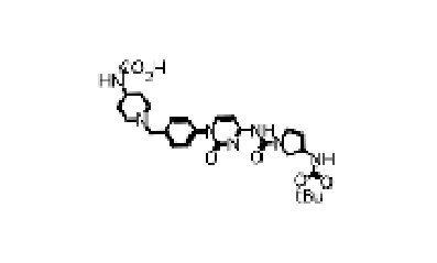 CC(C)(C)OC(=O)NC1CCN(C(=O)Nc2ccn(-c3ccc(CN4CCC(NC(=O)O)CC4)cc3)c(=O)n2)C1